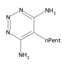 CCCCCc1c(N)nnnc1N